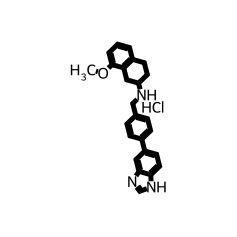 COc1cccc2c1CC(NCc1ccc(-c3ccc4[nH]cnc4c3)cc1)CC2.Cl